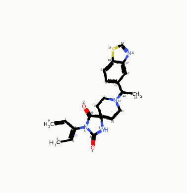 C=C/C(=C\C)N1C(=O)NC2(CCN(C(C)c3ccc4scnc4c3)CC2)C1=O